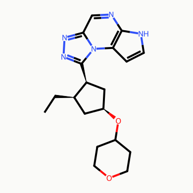 CC[C@@H]1C[C@H](OC2CCOCC2)C[C@@H]1c1nnc2cnc3[nH]ccc3n12